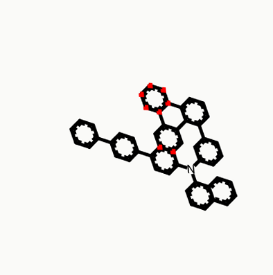 c1ccc(-c2ccc(-c3ccc(N(c4cccc(-c5cccc(-c6ccccc6)c5-c5ccccc5-c5ccccc5)c4)c4cccc5ccccc45)cc3)cc2)cc1